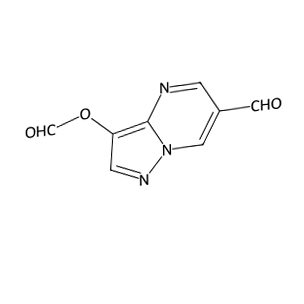 O=COc1cnn2cc(C=O)cnc12